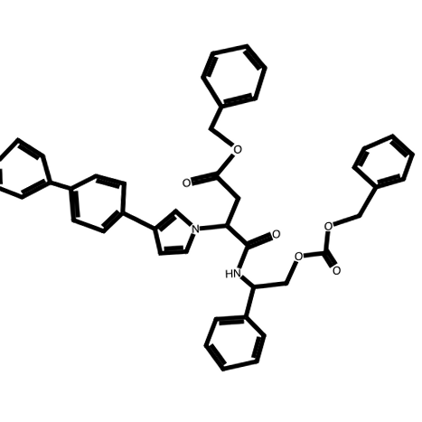 O=C(CC(C(=O)NC(COC(=O)OCc1ccccc1)c1ccccc1)n1ccc(-c2ccc(-c3ccncc3)cc2)c1)OCc1ccccc1